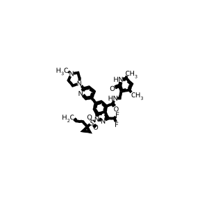 C=CCC1(S(=O)(=O)n2nc(C(F)F)c3c(C(=O)NCc4c(C)cc(C)[nH]c4=O)cc(-c4ccc(N5CCN(C)CC5)nc4)cc32)CC1